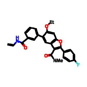 C=CNC(=O)c1cccc(-c2cc3c(C(=O)NC)c(-c4ccc(F)cc4)oc3cc2OCC)c1